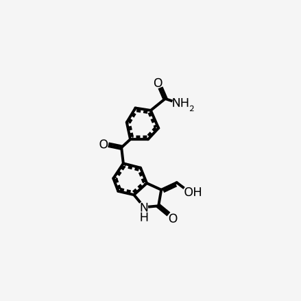 NC(=O)c1ccc(C(=O)c2ccc3c(c2)C(=CO)C(=O)N3)cc1